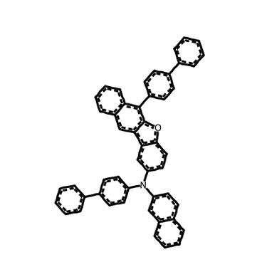 c1ccc(-c2ccc(-c3c4ccccc4cc4c3oc3ccc(N(c5ccc(-c6ccccc6)cc5)c5ccc6ccccc6c5)cc34)cc2)cc1